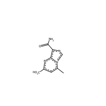 Cc1cc(C(=O)O)nc2c(C(N)=O)ncn12